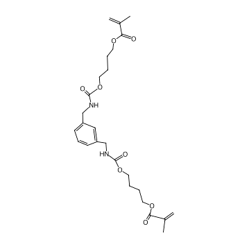 C=C(C)C(=O)OCCCCOC(=O)NCc1cccc(CNC(=O)OCCCCOC(=O)C(=C)C)c1